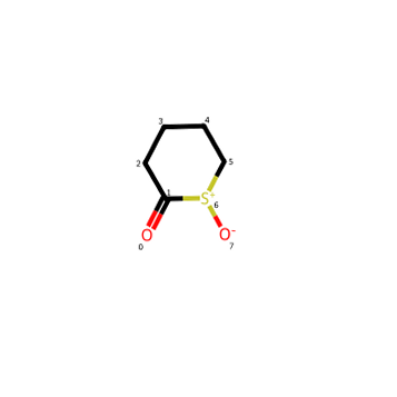 O=C1CCCC[S+]1[O-]